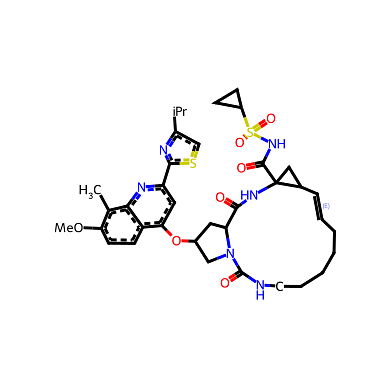 COc1ccc2c(OC3CC4C(=O)NC5(C(=O)NS(=O)(=O)C6CC6)CC5/C=C/CCCCCNC(=O)N4C3)cc(-c3nc(C(C)C)cs3)nc2c1C